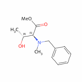 COC(=O)[C@H]([C@@H](C)O)N(C)Cc1ccccc1